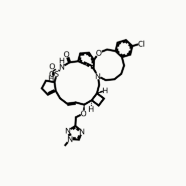 Cn1cnc(CO[C@H]2/C=C/CC3=CCC[C@H]3S(=O)(=O)NC(=O)c3ccc4c(c3)N(CCCCc3cc(Cl)ccc3CO4)C[C@@H]3CC[C@H]32)n1